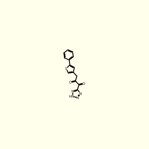 O=C(Cc1csc(-c2ccccc2)c1)C(=O)c1nn[nH]n1